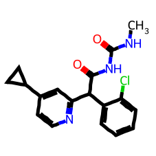 CNC(=O)NC(=O)C(c1cc(C2CC2)ccn1)c1ccccc1Cl